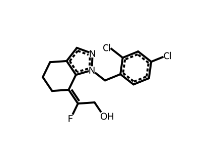 OC/C(F)=C1/CCCc2cnn(Cc3ccc(Cl)cc3Cl)c21